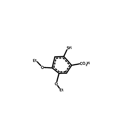 CCOc1cc(S)c(C(=O)O)cc1OCC